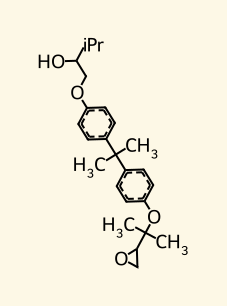 CC(C)C(O)COc1ccc(C(C)(C)c2ccc(OC(C)(C)C3CO3)cc2)cc1